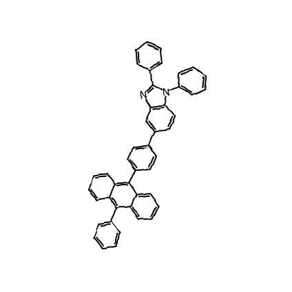 c1ccc(-c2c3ccccc3c(-c3ccc(-c4ccc5c(c4)nc(-c4ccccc4)n5-c4ccccc4)cc3)c3ccccc23)cc1